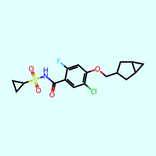 O=C(NS(=O)(=O)C1CC1)c1cc(Cl)c(OCC2CC3CC3C2)cc1F